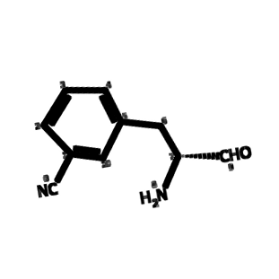 N#Cc1cccc(C[C@@H](N)C=O)c1